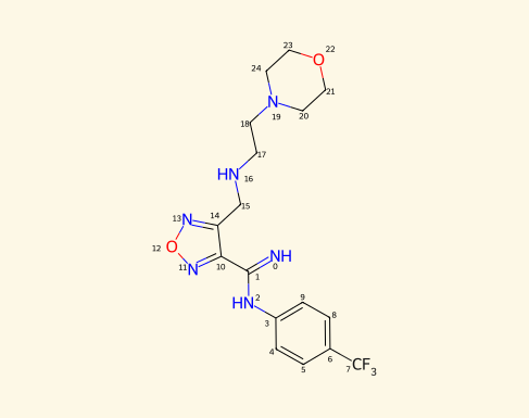 N=C(Nc1ccc(C(F)(F)F)cc1)c1nonc1CNCCN1CCOCC1